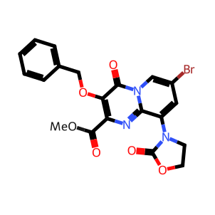 COC(=O)c1nc2c(N3CCOC3=O)cc(Br)cn2c(=O)c1OCc1ccccc1